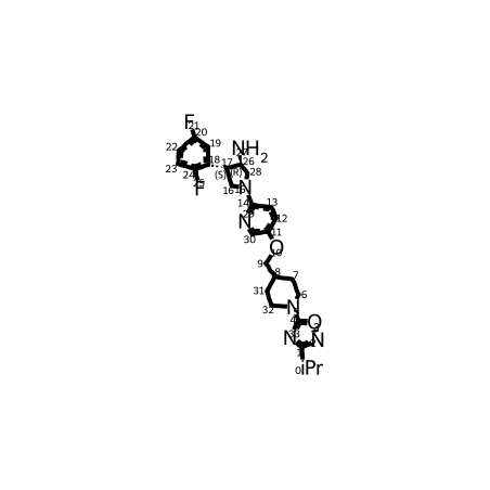 CC(C)c1noc(N2CCC(COc3ccc(N4C[C@H](c5cc(F)ccc5F)[C@@H](N)C4)nc3)CC2)n1